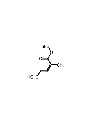 CCCCOC(=O)/C(C)=C\CC(=O)O